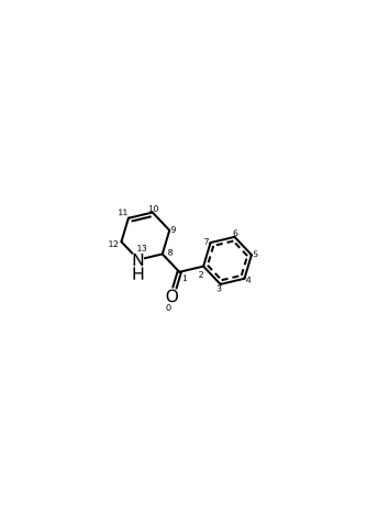 O=C(c1ccccc1)C1CC=CCN1